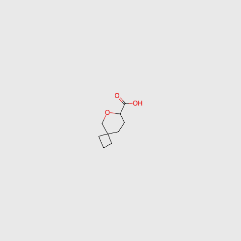 O=C(O)C1CCC2(CCC2)CO1